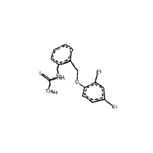 CCc1ccc(OCc2ccccc2NC(=S)OC)c(CC)c1